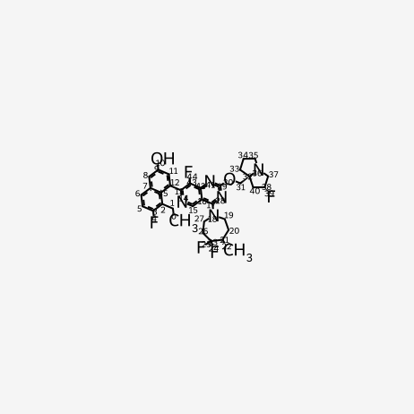 CCc1c(F)ccc2cc(O)cc(-c3ncc4c(N5CCC(C)C(F)(F)CC5)nc(OC[C@@]56CCCN5C[C@H](F)C6)nc4c3F)c12